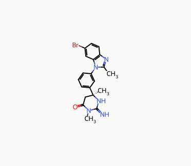 Cc1nc2ccc(Br)cc2n1-c1cccc([C@]2(C)CC(=O)N(C)C(=N)N2)c1